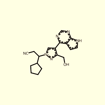 N#CCC(C1CCCC1)n1cc(-c2ncnc3[nH]ccc23)c(CO)n1